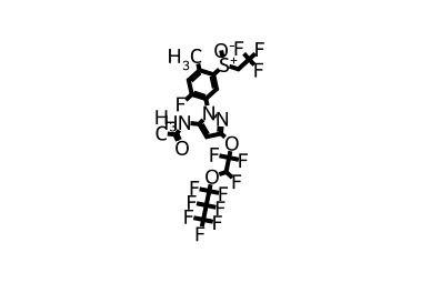 CC(=O)Nc1cc(OC(F)(F)C(F)OC(F)(F)C(F)(F)C(F)(F)F)nn1-c1cc([S+]([O-])CC(F)(F)F)c(C)cc1F